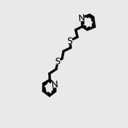 c1ccc(CCSCCCSCCc2ccccn2)nc1